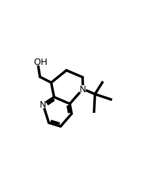 CC(C)(C)N1CCC(CO)c2ncccc21